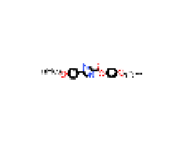 CCCCCCCCOc1ccc(OC(=O)c2cnc(-c3ccc(OCCCCCC)cc3)cn2)cc1